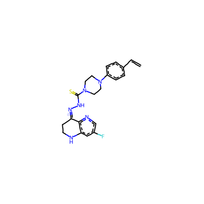 C=Cc1ccc(N2CCN(C(=S)N/N=C3/CCNc4cc(F)cnc43)CC2)cc1